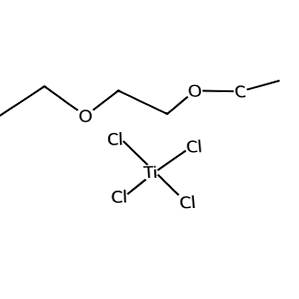 CCOCCOCC.[Cl][Ti]([Cl])([Cl])[Cl]